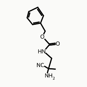 CC(N)(C#N)CNC(=O)OCc1ccccc1